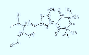 C=C(/C=C\C(=C/CCl)OC(F)F)c1nc(C2C(=O)C(C)(C)OC(C)(C)C2=O)c(C)s1